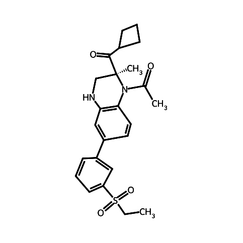 CCS(=O)(=O)c1cccc(-c2ccc3c(c2)NC[C@@](C)(C(=O)C2CCC2)N3C(C)=O)c1